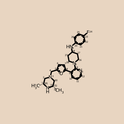 C[C@@H]1CN(Cc2ccc(-c3cccnc3N3CCC(Nc4ccc(F)cc4)CC3)o2)C[C@H](C)N1